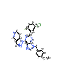 COc1ccc(Cn2cnc3c(-n4ncc5cnccc54)nc(-c4cc(Cl)ccc4F)nc32)cc1